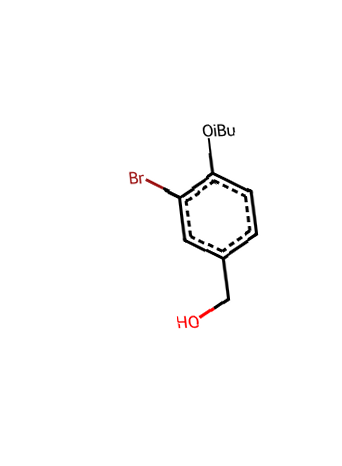 CC(C)COc1ccc(CO)cc1Br